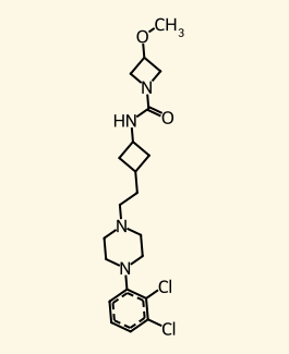 COC1CN(C(=O)NC2CC(CCN3CCN(c4cccc(Cl)c4Cl)CC3)C2)C1